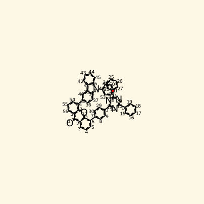 O=c1c2cccc(-c3ccc(-c4nc(-c5ccccc5)nc(-c5ccccc5)n4)cc3)c2oc2c(-c3ccc4c(c3)c3ccccc3n4-c3ccccc3)cccc12